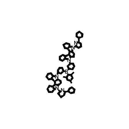 Cc1cc(C)c(B(c2cccc(-n3c4ccccc4c4c5c6ccccc6n(-c6cccc(-c7ccccc7)n6)c5ccc43)c2)c2cccc(-n3c4ccccc4c4c5c6ccccc6n(-c6cccc(-c7ccccc7)n6)c5ccc43)c2)c(C)c1